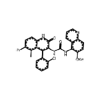 COc1ccc2ncccc2c1NC(=O)Nc1c(-c2ccccc2Cl)c2c(C)c(C(C)C)ccc2[nH]c1=O